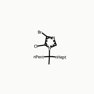 CCCCCCCC(C)(CCCCC)n1cnc(Br)c1Cl